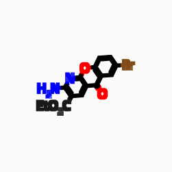 CCOC(=O)c1cc2c(=O)c3cc(Br)ccc3oc2nc1N